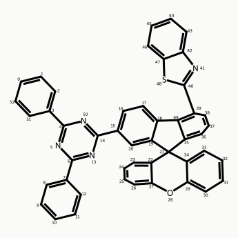 c1ccc(-c2nc(-c3ccccc3)nc(-c3ccc4c(c3)C3(c5ccccc5Oc5ccccc53)c3cccc(-c5nc6ccccc6s5)c3-4)n2)cc1